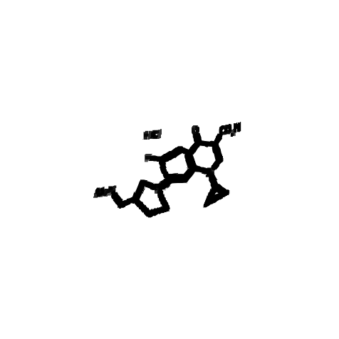 CNCC1CCN(c2cc3c(cc2F)c(=O)c(C(=O)O)cn3C2CC2)C1.Cl